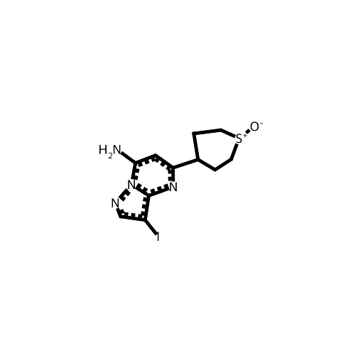 Nc1cc(C2CC[S+]([O-])CC2)nc2c(I)cnn12